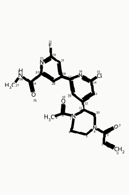 C=CC(=O)N1CCN(C(C)=O)[C@@H](c2cc(Cl)nc(-c3cc(F)nc(C(=O)NC)c3)c2)C1